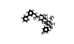 CC(C)C[C@H](NS(=O)(=O)c1ccc(F)cc1)C(=O)NC1CCN(C(=O)Cc2cccc(-c3ccccn3)c2)CC1O